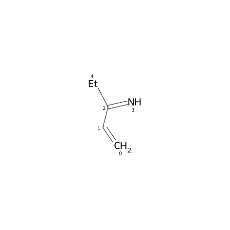 C=CC(=N)CC